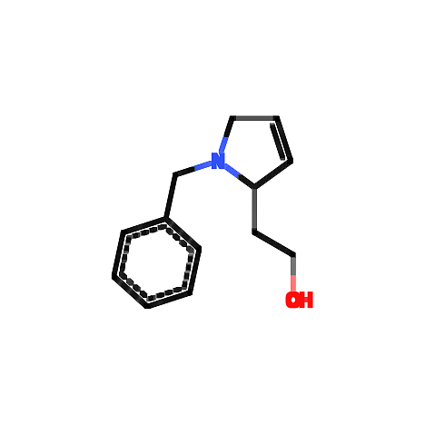 OCCC1C=CCN1Cc1ccccc1